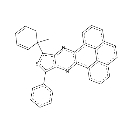 CC1(c2sc(-c3ccccc3)c3nc4c5cccc6ccc7cccc(c4nc23)c7c65)C=CC=CC1